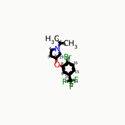 CC(C)N1CCC(Oc2cc(C(F)(F)F)ccc2Br)C1